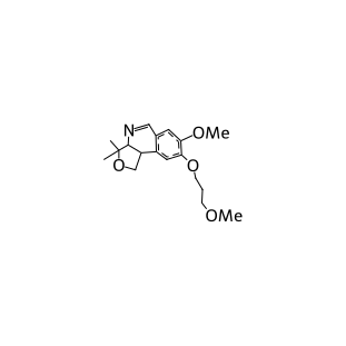 COCCCOc1cc2c(cc1OC)C=NC1C2COC1(C)C